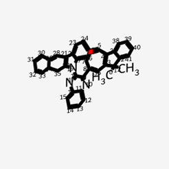 CC1(C)C2=C(C#CCC(c3nc4ccccc4nc3-n3c4c(c5ccccc53)C=C3C=CC=CC3C4)=C2)c2ccccc21